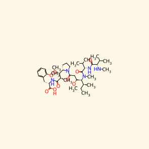 CC[C@H](C)[C@@H](C(CC(=O)N1CCC[C@H]1[C@H](OC)[C@@H](C)C(=O)N[C@@H](Cc1ccccc1OC)C(=O)O)OC)N(C)C(=O)[C@@H](NC(=O)[C@@H](NC)C(C)C)C(C)C